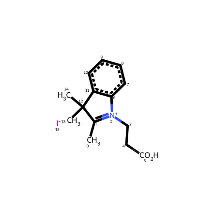 CC1=[N+](CCC(=O)O)c2ccccc2C1(C)C.[I-]